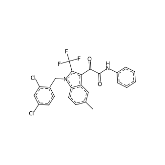 Cc1ccc2c(c1)c(C(=O)C(=O)Nc1ccccc1)c(C(F)(F)F)n2Cc1ccc(Cl)cc1Cl